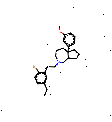 CCc1ccc(Br)c(CCN2CCCC3(c4cccc(OC)c4)CCCC3C2)c1